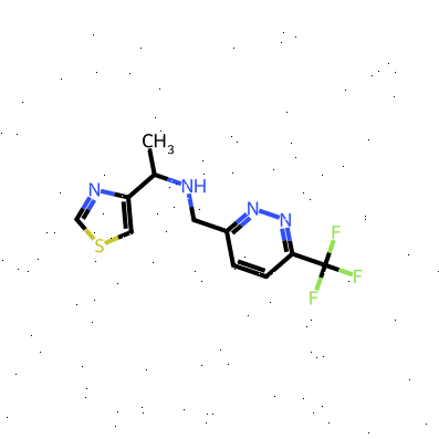 CC(NCc1ccc(C(F)(F)F)nn1)c1cscn1